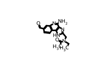 CCN(Cc1nc2c(N)nc3cc(C=O)ccc3c2[nH]1)C(C)=O